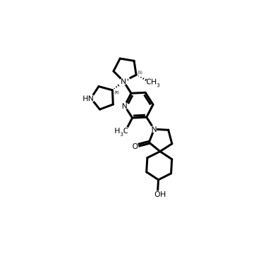 Cc1nc([N+]2([C@@H]3CCNC3)CCC[C@@H]2C)ccc1N1CCC2(CCC(O)CC2)C1=O